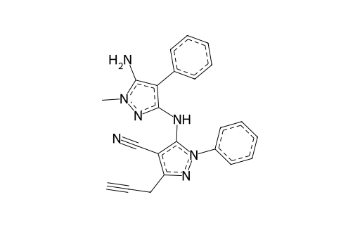 C#CCc1nn(-c2ccccc2)c(Nc2nn(C)c(N)c2-c2ccccc2)c1C#N